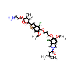 C=C(C)CC(=O)N1Cc2cc(OC)c(OCCCOc3c(OC)cc4sc(C(=O)C[C@H](C)C(=O)OCCN)cc4c3F)c(F)c2C1